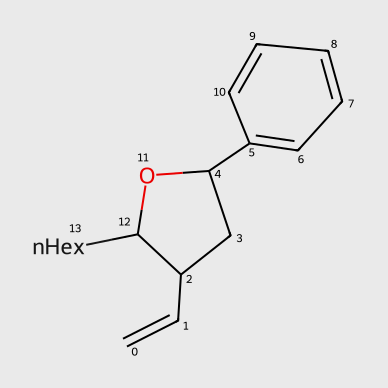 C=CC1CC(c2ccccc2)OC1CCCCCC